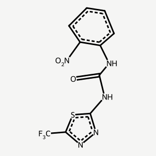 O=C(Nc1nnc(C(F)(F)F)s1)Nc1ccccc1[N+](=O)[O-]